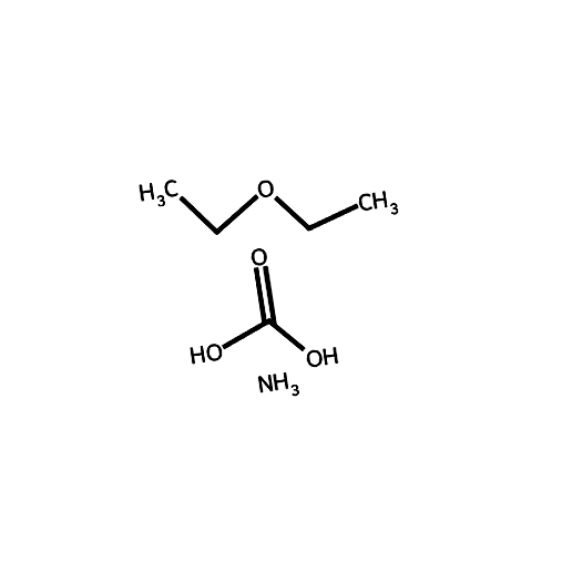 CCOCC.N.O=C(O)O